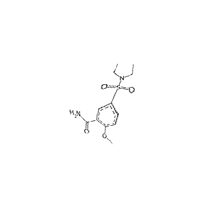 CCN(CC)S(=O)(=O)c1ccc(OC)c(C(N)=O)c1